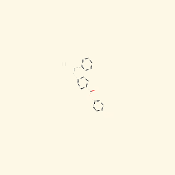 CC(Cc1ccc(C(=O)Oc2ccc(O)cc2)cc1)c1ccccc1